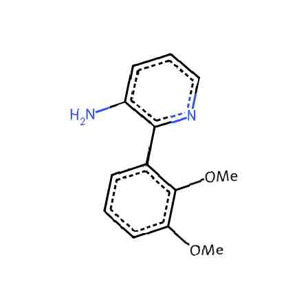 COc1cccc(-c2ncccc2N)c1OC